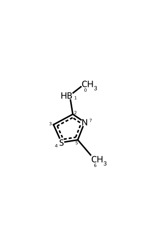 CBc1csc(C)n1